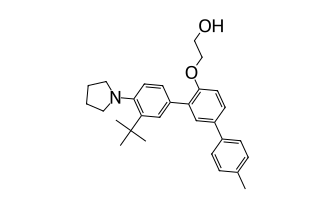 Cc1ccc(-c2ccc(OCCO)c(-c3ccc(N4CCCC4)c(C(C)(C)C)c3)c2)cc1